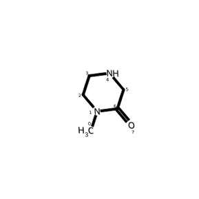 CN1CCN[CH]C1=O